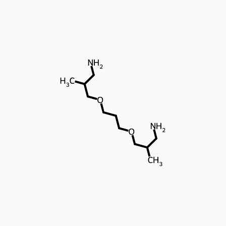 CC(CN)COCCCOCC(C)CN